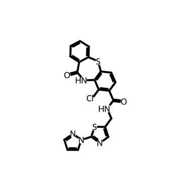 O=C1Nc2c(ccc(C(=O)NCc3cnc(-n4cccn4)s3)c2Cl)Sc2ccccc21